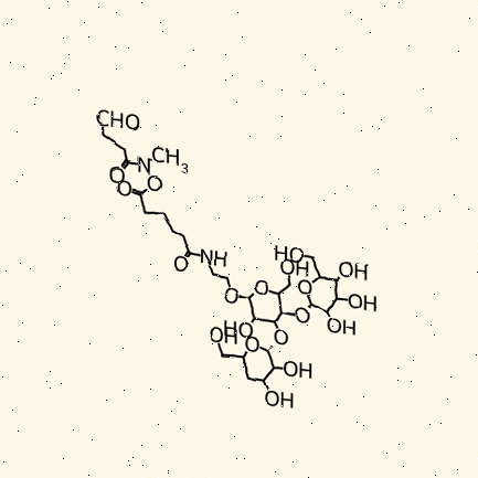 CN(OC(=O)CCCCC(=O)NCCO[C@H]1OC(CO)[C@@H](O[C@H]2OC(CO)[C@@H](O)C(O)C2O)C(O[C@H]2OC(CO)CC(O)C2O)C1O)C(=O)CCC=O